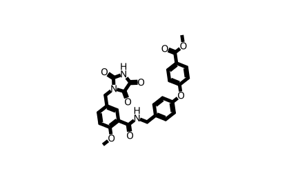 COC(=O)c1ccc(Oc2ccc(CNC(=O)c3cc(CN4C(=O)NC(=O)C4=O)ccc3OC)cc2)cc1